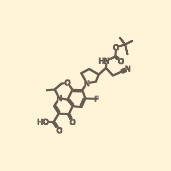 CC1COc2c(N3CCC(C(CC#N)NC(=O)OC(C)(C)C)C3)c(F)cc3c(=O)c(C(=O)O)cn1c23